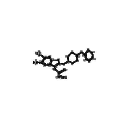 CCCCCC(=O)OC1=C(CC2CCN(Cc3ccccc3)CC2)Cc2cc(C)c(C)cc21